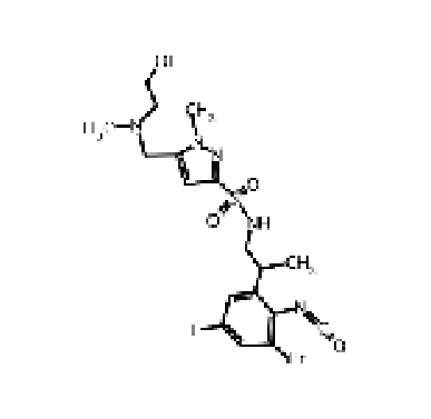 CC(C)c1cc(F)cc(C(C)CNS(=O)(=O)c2cc(CN(C)CCO)n(C)n2)c1N=C=O